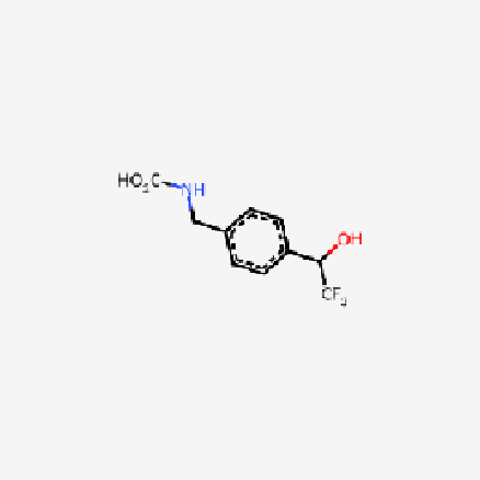 O=C(O)NCc1ccc(C(O)C(F)(F)F)cc1